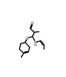 C/C=C\NC(OC1CC=C(C)CC1)C(C)C=O